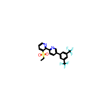 CCS(=O)(=O)c1cccnc1-c1ccc(-c2cc(C(F)(F)F)cc(C(F)(F)F)c2)cn1